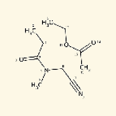 CCC(=O)N(C)CC#N.CCOC(C)=O